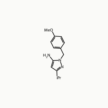 COc1ccc(Cn2nc(C(C)C)cc2N)cc1